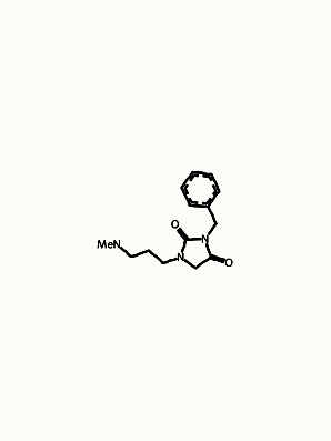 CNCCCN1CC(=O)N(Cc2ccccc2)C1=O